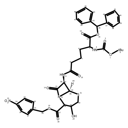 CC(C)(C)OC(=O)NC(CCCC(=O)N[C@@H]1C(=O)N2C(C(=O)OCc3ccc([N+](=O)[O-])cc3)C(O)CS[C@H]12)C(=O)OC(c1ccccc1)c1ccccc1